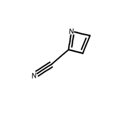 N#CC1=NC=C1